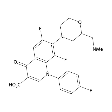 CNCC1CN(c2c(F)cc3c(=O)c(C(=O)O)cn(-c4ccc(F)cc4)c3c2F)CCO1